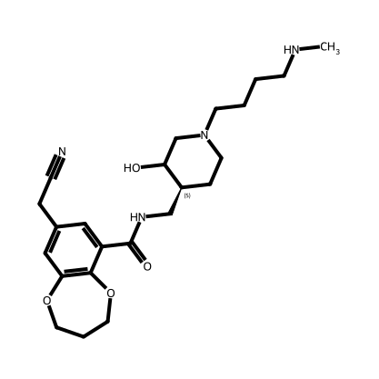 CNCCCCN1CC[C@@H](CNC(=O)c2cc(CC#N)cc3c2OCCCO3)C(O)C1